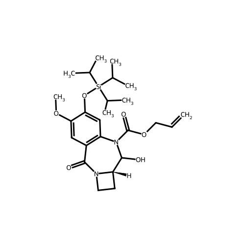 C=CCOC(=O)N1c2cc(O[Si](C(C)C)(C(C)C)C(C)C)c(OC)cc2C(=O)N2CC[C@H]2C1O